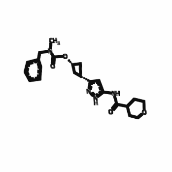 CN(Cc1ccccc1)C(=O)O[C@H]1C[C@@H](c2cc(NC(=O)C3CCOCC3)[nH]n2)C1